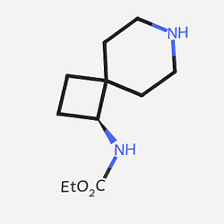 CCOC(=O)N[C@H]1CCC12CCNCC2